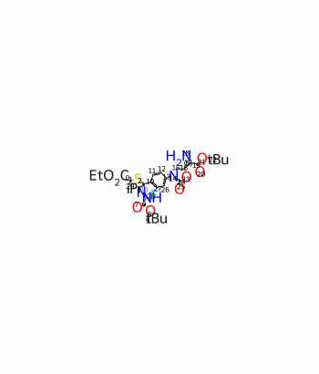 CCOC(=O)C(S/C(=N/NC(=O)OC(C)(C)C)c1ccc(N2CC([C@H](N)C(=O)OC(C)(C)C)OC2=O)cc1F)C(C)C